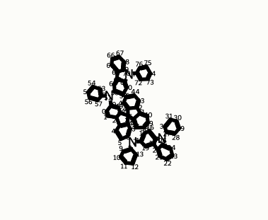 C1=CC2c3ccc(N(c4ccccc4)c4ccc5c(c4)c4ccccc4n5-c4ccccc4)cc3C3(c4ccccc4-c4ccccc43)C2C=C1N(c1ccccc1)c1ccc2c(c1)c1ccccc1n2-c1ccccc1